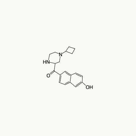 O=C(c1ccc2cc(O)ccc2c1)C1CN(C2CCC2)CCN1